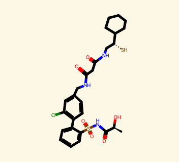 C[C@H](O)C(=O)NS(=O)(=O)c1ccccc1-c1ccc(CNC(=O)CC(=O)NC[C@@H](S)C2CCCCC2)cc1Cl